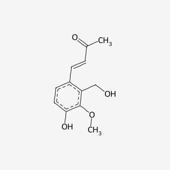 COc1c(O)ccc(/C=C/C(C)=O)c1CO